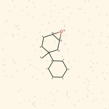 CC1(C2CCCCC2)CCC2OC2C1